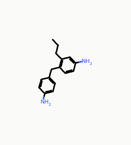 CCCc1cc(N)ccc1Cc1ccc(N)cc1